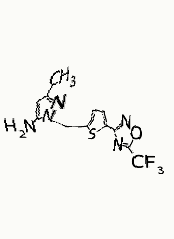 Cc1cc(N)n(Cc2ccc(-c3noc(C(F)(F)F)n3)s2)n1